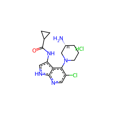 Cl.N[C@@H]1CCCN(c2c(Cl)cnc3[nH]cc(NC(=O)C4CC4)c23)C1